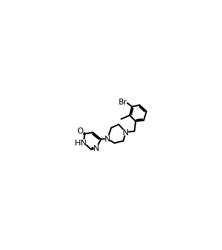 Cc1c(Br)cccc1CN1CCN(c2cc(=O)[nH]cn2)CC1